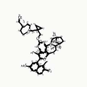 Cc1c(F)ccc2cc(O)cc(-c3nc4c5c(nc(OCC6(CN7CCC(CC(F)(F)F)CC7)CC6)nc5c3F)N3C[C@H]5CC[C@H](N5)[C@H]3CC4)c12